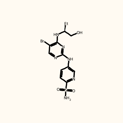 CC[C@@H](CO)Nc1nc(Nc2ccc(S(N)(=O)=O)nc2)ncc1Br